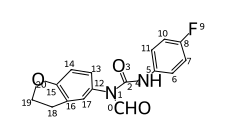 O=CN(C(=O)Nc1ccc(F)cc1)c1ccc2c(c1)CCO2